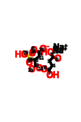 O=C(O)CCC(=O)O.O=C([O-])CC(C(=O)[O-])S(=O)(=O)O.[Na+].[Na+]